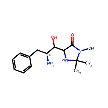 CN1C(=O)C(C(O)[C@@H](N)Cc2ccccc2)NC1(C)C